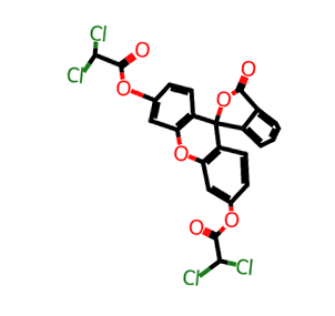 O=C1OC2(c3ccc(OC(=O)C(Cl)Cl)cc3Oc3cc(OC(=O)C(Cl)Cl)ccc32)c2ccccc21